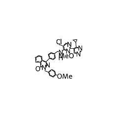 COc1ccc(Cn2nc(-c3ccc(CNc4nc(-c5c(OC)ncnc5C5CC5)ncc4CCl)cc3)c3ccccc3c2=O)cc1